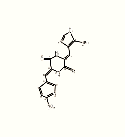 CC(C)(C)c1[nH]cnc1/C=c1\[nH]c(=O)/c(=C/c2ccc([N+](=O)[O-])nc2)[nH]c1=O